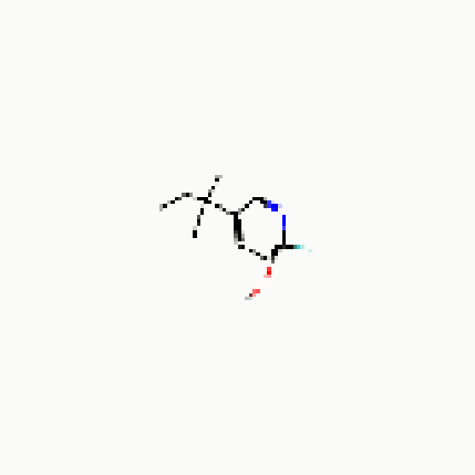 CCC(C)(C)c1cnc(F)c(OC)c1